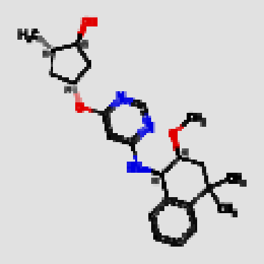 [CH2][C@H]1C[C@@H](Oc2cc(N[C@@H]3c4ccccc4C(C)(C)C[C@@H]3OC)ncn2)C[C@@H]1O